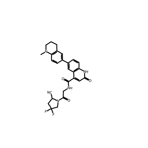 CN1CCCc2cc(-c3ccc4[nH]c(=O)cc(C(=O)NCC(=O)N5CC(F)(F)CC5C#N)c4c3)ccc21